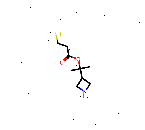 CC(C)(OC(=O)CCS)C1CNC1